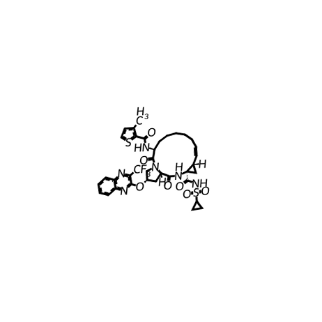 Cc1ccsc1C(=O)N[C@H]1CCCCC/C=C\[C@@H]2C[C@@]2(C(=O)NS(=O)(=O)C2CC2)NC(=O)[C@@H]2C[C@@H](Oc3nc4ccccc4nc3C(F)(F)F)CN2C1=O